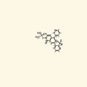 CC(C)(O)Cn1cnc2c(-c3cccnc3)nc(-c3cccnc3C(F)(F)F)cc2c1=O